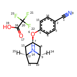 N#Cc1ccc(O[C@H]2C[C@H]3CC[C@@H](C2)N3)cc1.O=C(O)C(F)(F)F